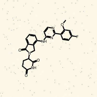 COc1cc(F)ccc1-c1nccc(Nc2cccc3c2CN(C2CCC(=O)NC2=O)C3=O)n1